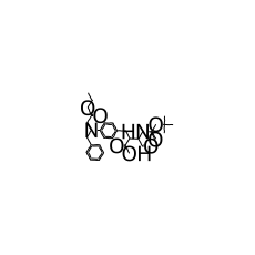 CCOC(=O)CN(Cc1ccccc1)c1ccc(CC(C(=O)O)C(C=O)NC(=O)OC(C)(C)C)cc1